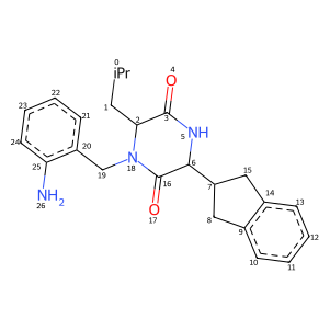 CC(C)CC1C(=O)NC(C2Cc3ccccc3C2)C(=O)N1Cc1ccccc1N